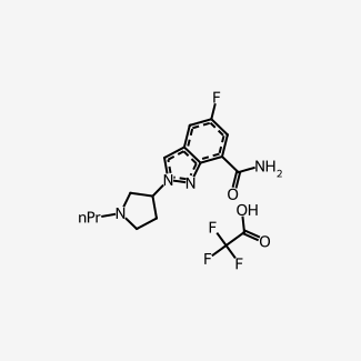 CCCN1CCC(n2cc3cc(F)cc(C(N)=O)c3n2)C1.O=C(O)C(F)(F)F